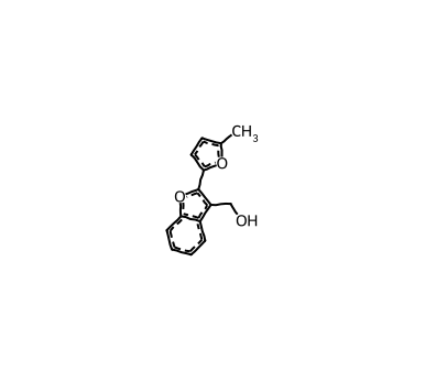 Cc1ccc(-c2oc3ccccc3c2CO)o1